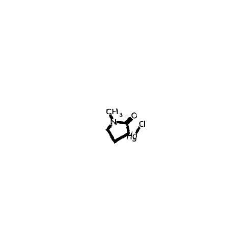 CN1CCCC1=O.[Cl][Hg]